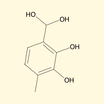 Cc1ccc(C(O)O)c(O)c1O